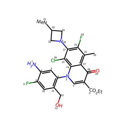 CCOC(=O)c1cn(-c2cc(N)c(F)cc2CO)c2c(Cl)c(N3CC(NC)C3)c(F)c(C)c2c1=O